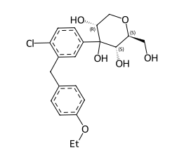 CCOc1ccc(Cc2cc(C3(O)[C@H](O)CO[C@@H](CO)[C@@H]3O)ccc2Cl)cc1